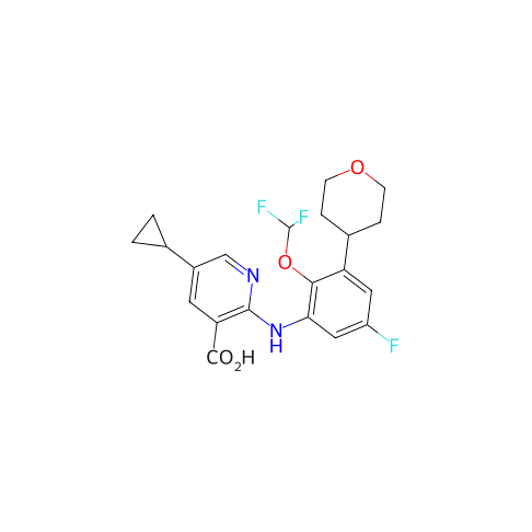 O=C(O)c1cc(C2CC2)cnc1Nc1cc(F)cc(C2CCOCC2)c1OC(F)F